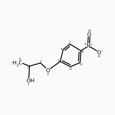 [CH2]C(O)COc1ccc([N+](=O)[O-])cc1